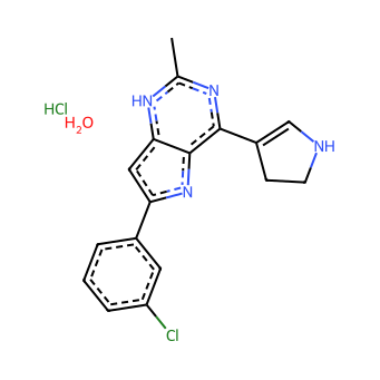 Cc1nc(C2=CNCC2)c2nc(-c3cccc(Cl)c3)cc-2[nH]1.Cl.O